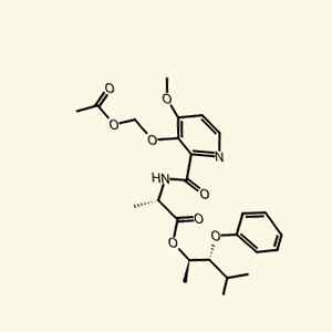 COc1ccnc(C(=O)N[C@@H](C)C(=O)O[C@H](C)[C@H](Oc2ccccc2)C(C)C)c1OCOC(C)=O